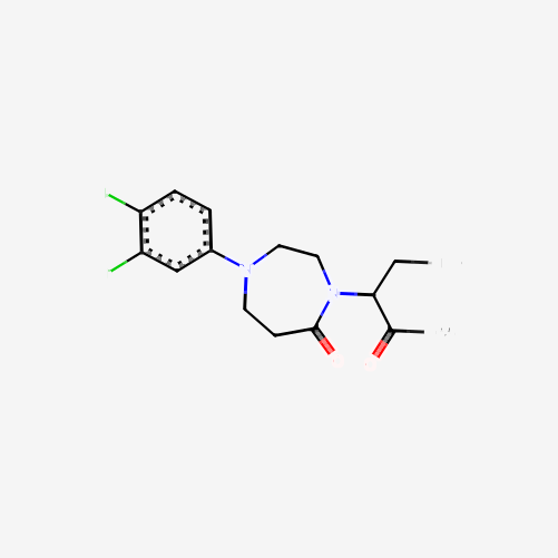 COC(=O)C(CC=O)N1CCN(c2ccc(Cl)c(Cl)c2)CCC1=O